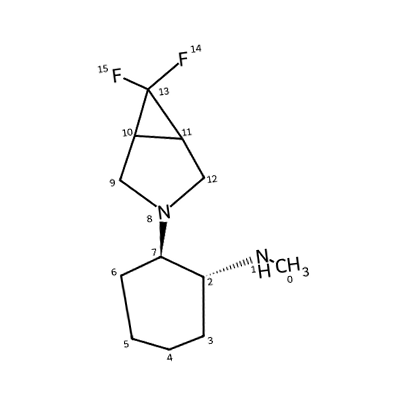 CN[C@@H]1CCCC[C@H]1N1CC2C(C1)C2(F)F